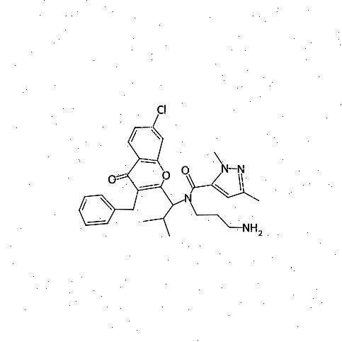 Cc1cc(C(=O)N(CCCN)C(c2oc3cc(Cl)ccc3c(=O)c2Cc2ccccc2)C(C)C)n(C)n1